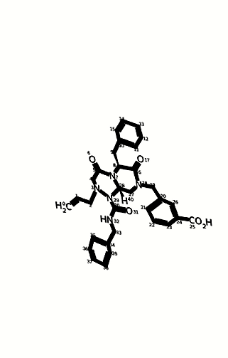 C=CCN1CC(=O)N2[C@@H](Cc3ccccc3)C(=O)N(Cc3cccc(C(=O)O)c3)C[C@@H]2N1C(=O)NCc1ccccc1